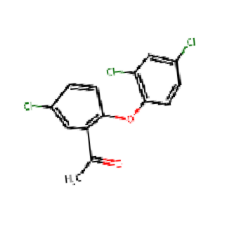 CC(=O)c1cc(Cl)ccc1Oc1ccc(Cl)cc1Cl